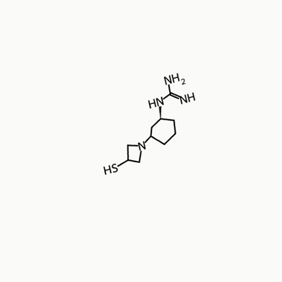 N=C(N)N[C@H]1CCCC(N2CC(S)C2)C1